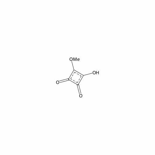 COc1c(O)c(=O)c1=O